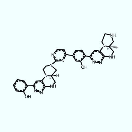 Oc1cc(-c2ccnc(N3CCN4c5cc(-c6ccccc6O)nnc5NC[C@H]4C3)n2)ccc1-c1cc2c(nn1)NC[C@H]1CNCCN21